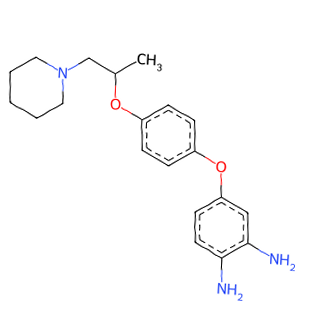 CC(CN1CCCCC1)Oc1ccc(Oc2ccc(N)c(N)c2)cc1